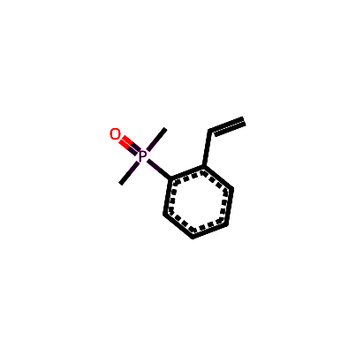 C=Cc1ccccc1P(C)(C)=O